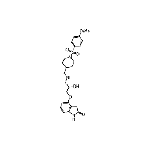 COc1ccc(S(=O)(=O)N2CCC(CNC[C@H](O)COc3cccc4c3CC(=O)N4)CC2)cc1